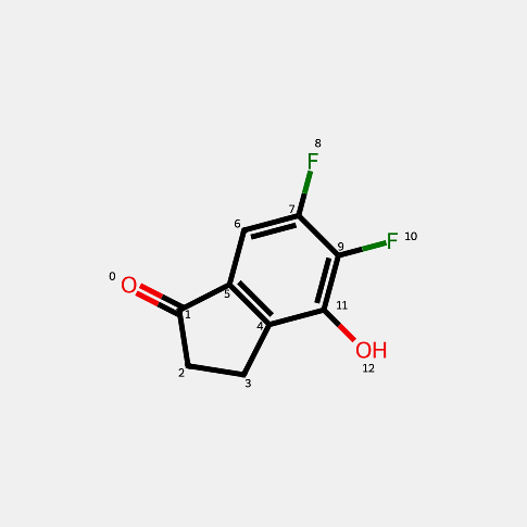 O=C1CCc2c1cc(F)c(F)c2O